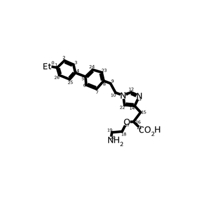 CCc1ccc(-c2ccc(CCn3cnc(CC(OCCN)C(=O)O)c3)cc2)cc1